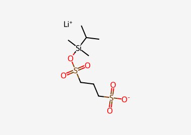 CC(C)[Si](C)(C)OS(=O)(=O)CCCS(=O)(=O)[O-].[Li+]